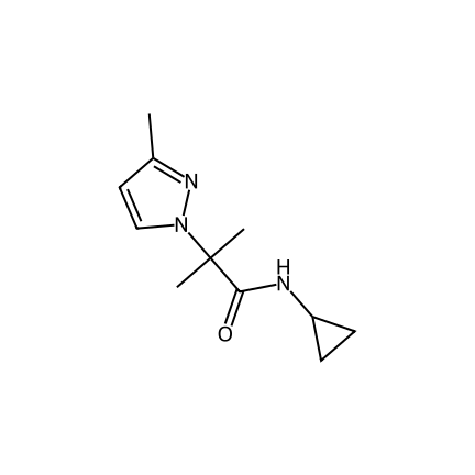 Cc1ccn(C(C)(C)C(=O)NC2CC2)n1